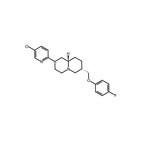 Fc1ccc(OC[C@H]2CC[C@H]3CN(c4ccc(Cl)cn4)CCN3C2)cc1